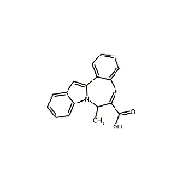 CC1C(C(=O)O)=Cc2ccccc2-c2cc3ccccc3n21